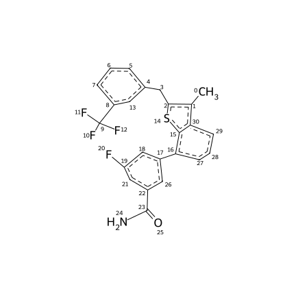 Cc1c(Cc2cccc(C(F)(F)F)c2)sc2c(-c3cc(F)cc(C(N)=O)c3)cccc12